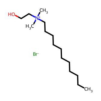 CCCCCCCCCCC[N+](C)(C)CCO.[Br-]